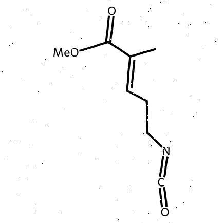 COC(=O)C(C)=CCCN=C=O